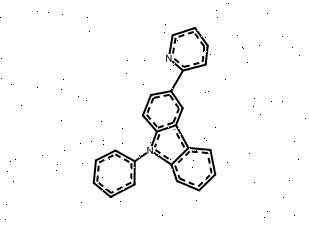 c1ccc(-n2c3ccccc3c3cc(-c4ccccn4)ccc32)cc1